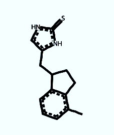 Cc1cccc2c1CCC2Cc1c[nH]c(=S)[nH]1